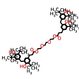 CC(C)(C)c1cc(CCC(=O)OCCOCCOCCOC(=O)CCc2cc(Cc3cc(C(C)(C)C)c(O)c(C(C)(C)C)c3)c(O)c(C(C)(C)C)c2)cc(Cc2cc(C(C)(C)C)c(O)c(C(C)(C)C)c2)c1O